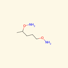 CC(CCCON)ON